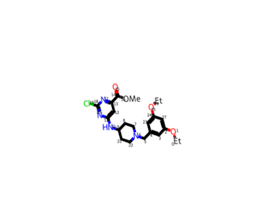 CCOc1cc(CN2CCC(Nc3cc(C(=O)OC)nc(Cl)n3)CC2)cc(OCC)c1